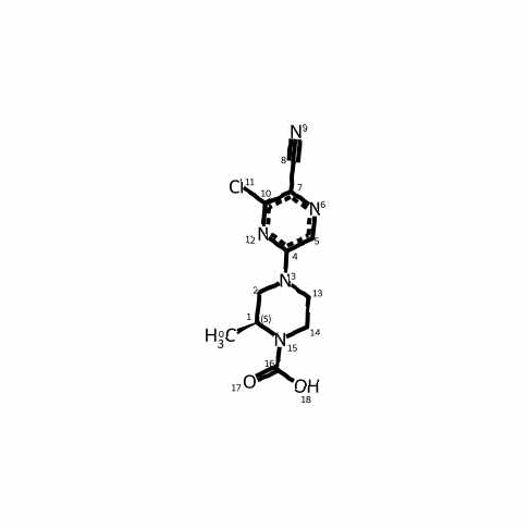 C[C@H]1CN(c2cnc(C#N)c(Cl)n2)CCN1C(=O)O